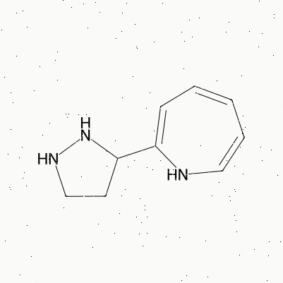 C1=CC=C(C2CCNN2)NC=C1